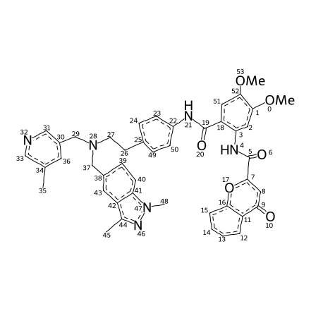 COc1cc(NC(=O)c2cc(=O)c3ccccc3o2)c(C(=O)Nc2ccc(CCN(Cc3cncc(C)c3)Cc3ccc4c(c3)c(C)nn4C)cc2)cc1OC